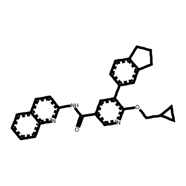 O=C(Nc1ccc2ccccc2n1)c1cnc(OCC2CC2)c(-c2ccc3c(c2)CCC3)c1